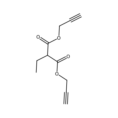 C#CCOC(=O)C(CC)C(=O)OCC#C